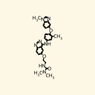 Cc1cc(Nc2ncnc3ccc(OCCNC(=O)N(C)C)cc23)ccc1Oc1ccc2c(c1)ncn2C